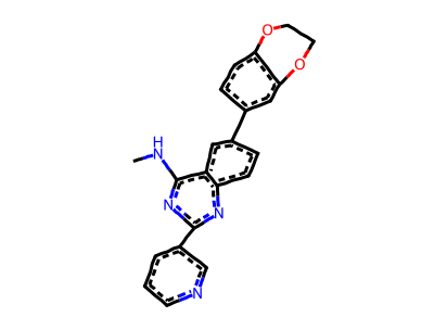 CNc1nc(-c2cccnc2)nc2ccc(-c3ccc4c(c3)OCCO4)cc12